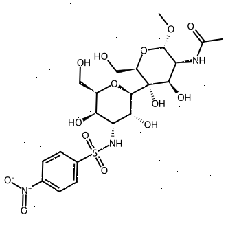 CO[C@H]1O[C@H](CO)[C@](O)([C@@H]2O[C@H](CO)[C@H](O)[C@@H](NS(=O)(=O)c3ccc([N+](=O)[O-])cc3)[C@H]2O)[C@H](O)[C@@H]1NC(C)=O